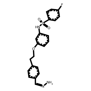 N/N=C\c1ccc(CCOc2cccc(NS(=O)(=O)c3ccc(F)cc3)c2)cc1